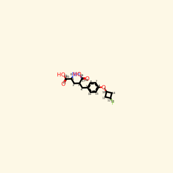 NC(CC(Cc1ccc(OC2CC(F)C2)cc1)C(=O)O)C(=O)O